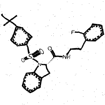 CC(C)(C)c1ccc(S(=O)(=O)N2c3ccccc3C[C@H]2C(=O)NCCc2ccccc2F)cc1